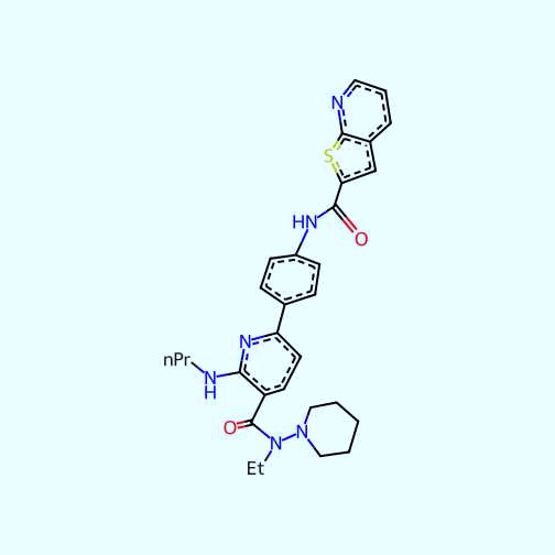 CCCNc1nc(-c2ccc(NC(=O)c3cc4cccnc4s3)cc2)ccc1C(=O)N(CC)N1CCCCC1